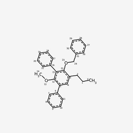 CCCc1[c]c(-c2ccccc2)c(OC)c(-c2ccccc2)c1OCc1ccccc1